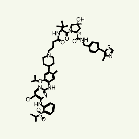 Cc1cc(Nc2ncc(Cl)c(Nc3ccccc3S(=O)(=O)C(C)C)n2)c(OC(C)C)cc1C1CCN(CCCC(=O)N[C@H](C(=O)N2C[C@H](O)C[C@H]2C(=O)NCc2ccc(-c3scnc3C)cc2)C(C)(C)C)CC1